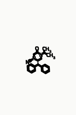 CC(C)N1C[C@H](C(c2ccccc2)c2ccccc2)N(C#N)CC1=O